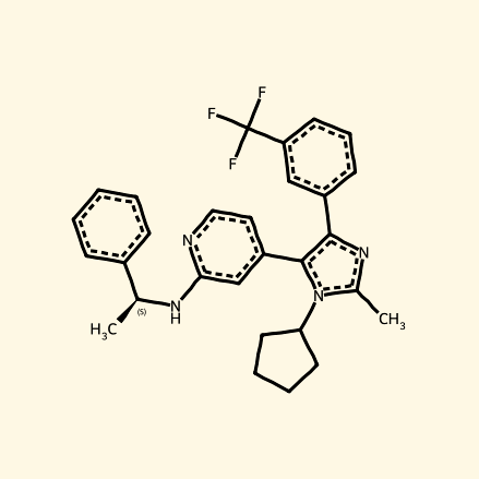 Cc1nc(-c2cccc(C(F)(F)F)c2)c(-c2ccnc(N[C@@H](C)c3ccccc3)c2)n1C1CCCC1